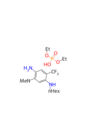 CCCCCCNc1cc(NC)c(N)cc1C(F)(F)F.CCOP(=O)(O)OCC